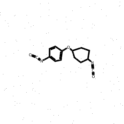 O=C=Nc1ccc(OC2CCC(N=C=O)CC2)cc1